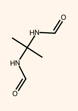 CC(C)(NC=O)NC=O